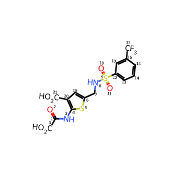 O=C(O)C(=O)Nc1sc(CNS(=O)(=O)c2cccc(C(F)(F)F)c2)cc1C(=O)O